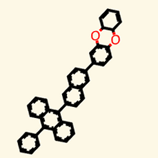 C1=CC2Oc3ccc(-c4ccc5cc(-c6c7ccccc7c(-c7ccccc7)c7ccccc67)ccc5c4)cc3OC2C=C1